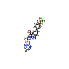 CC(C)(COc1ncccn1)Cn1nnc2ccc(-c3ccc(OC(F)(F)F)cc3)cc2c1=O